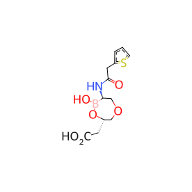 O=C(O)C[C@H]1COC[C@H](NC(=O)Cc2cccs2)B(O)O1